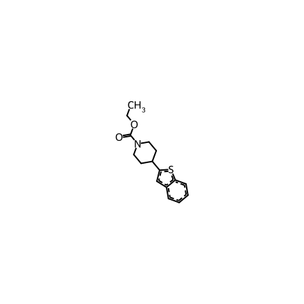 CCOC(=O)N1CCC(c2cc3ccccc3s2)CC1